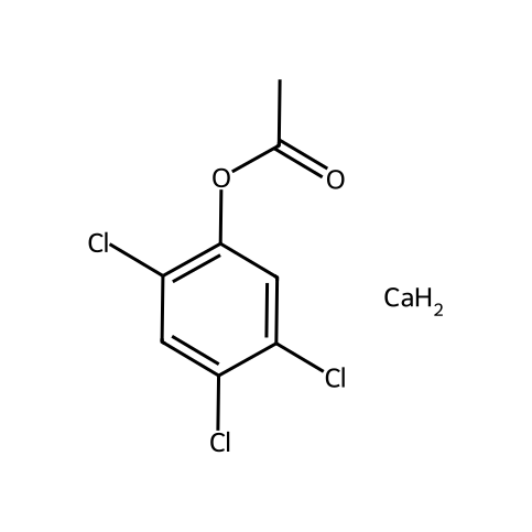 CC(=O)Oc1cc(Cl)c(Cl)cc1Cl.[CaH2]